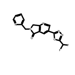 O=C1c2cc(-c3nnc(C(F)F)o3)cnc2CN1Cc1ccccn1